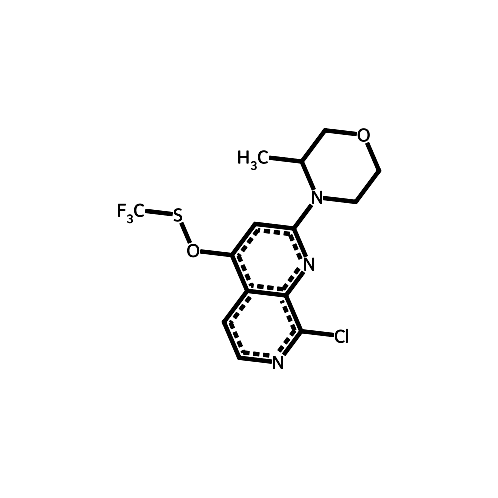 CC1COCCN1c1cc(OSC(F)(F)F)c2ccnc(Cl)c2n1